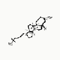 CC(C)(O)CCC[C@H]1CC[C@H]2[C@@H]3CC[C@H]4C[C@@H](O)CC[C@]4(C)[C@H]3CC[C@]12C